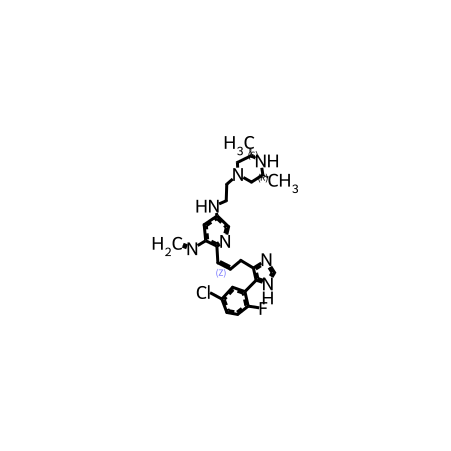 C=Nc1cc(NCCN2C[C@@H](C)N[C@@H](C)C2)cnc1/C=C\Cc1nc[nH]c1-c1cc(Cl)ccc1F